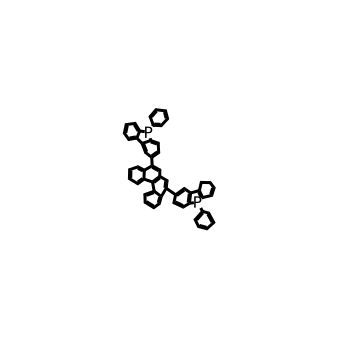 C1=Cc2c(c3cc(-c4cc5cc(-c6ccc7c(c6)c6ccccc6p7-c6ccccc6)c6ccccc6c5c5ccccc45)ccc3p2-c2ccccc2)CC1